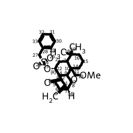 C=C1C(=O)[C@]23CC[C@H]1CC2C1(C(=O)OC)CCCC(C)(C)C1C[C@H]3OS(=O)(=O)Cc1ccccc1